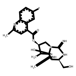 C=C1NC2[C@H](CO)NC(=N)N3C[C@H](OC(=O)c4cc(C)nc5ccc(F)cc45)C(C)C23N1O